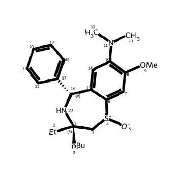 CCCC[C@]1(CC)C[S+]([O-])c2cc(OC)c(N(C)C)cc2[C@@H](c2ccccc2)N1